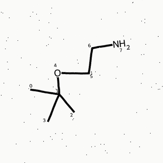 CC(C)(C)O[C]CN